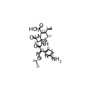 C=CC1=C(C(=O)O)N2C(=O)C[C@@]2(NC(=O)/C(=N/OCC)c2csc(N)n2)SC1